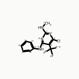 CNc1nc(Cl)c(C(F)(F)F)c(Nc2ccccc2)n1